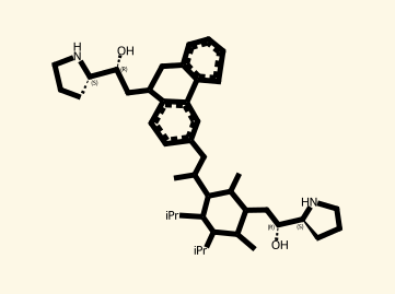 CC(C)C1C(C)C(C[C@@H](O)[C@@H]2CCCN2)C(C)C(C(C)Cc2ccc3c(c2)-c2ccccc2CC3C[C@@H](O)[C@@H]2CCCN2)C1C(C)C